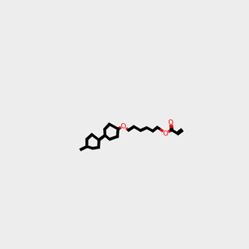 C=CC(=O)OCCCCCCOC1CCC(C2CCC(C)CC2)CC1